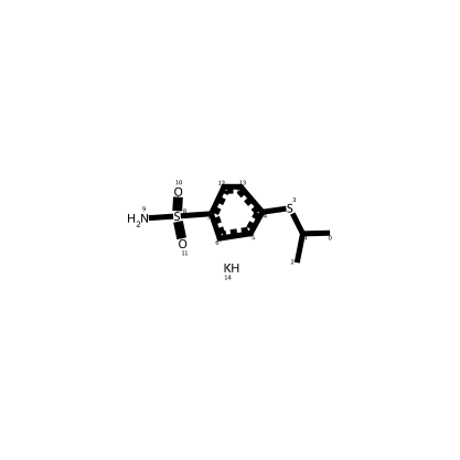 CC(C)Sc1ccc(S(N)(=O)=O)cc1.[KH]